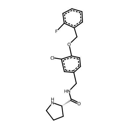 O=C(NCc1ccc(OCc2ccccc2F)c(Cl)c1)[C@@H]1CCCN1